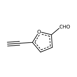 C#Cc1ccc(C=O)o1